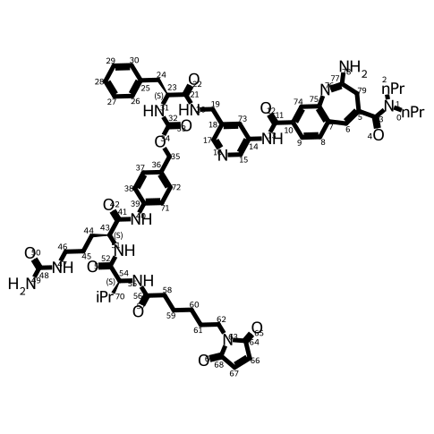 CCCN(CCC)C(=O)C1=Cc2ccc(C(=O)Nc3cncc(CNC(=O)[C@H](Cc4ccccc4)NC(=O)OCc4ccc(NC(=O)[C@H](CCCNC(N)=O)NC(=O)[C@@H](NC(=O)CCCCCN5C(=O)C=CC5=O)C(C)C)cc4)c3)cc2N=C(N)C1